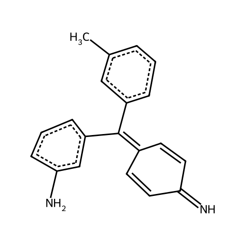 Cc1cccc(C(=C2C=CC(=N)C=C2)c2cccc(N)c2)c1